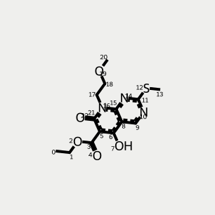 CCOC(=O)c1c(O)c2cnc(SC)nc2n(CCOC)c1=O